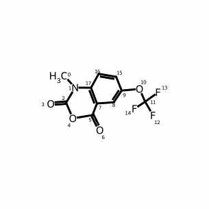 Cn1c(=O)oc(=O)c2cc(OC(F)(F)F)ccc21